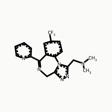 CN(C)Cc1nnc2n1-c1ccc(C(F)(F)F)cc1C(c1ccccn1)=NC2